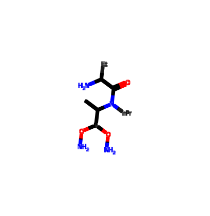 CCCN(C(=O)C(N)CC)C(C)B(ON)ON